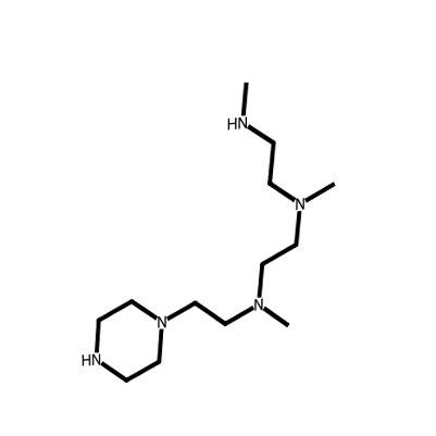 CNCCN(C)CCN(C)CCN1CCNCC1